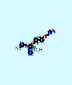 Cc1c(COCCN2CC[C@@H](OI)C2)cccc1-c1cccc(COc2cc(OCc3cncc(C#N)c3)c(CN3CCCC[C@H]3C(=O)O)cc2Cl)c1C